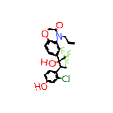 C=CCN1C(=O)COc2ccc(C(O)(C(C)c3ccc(O)cc3Cl)C(F)(F)F)cc21